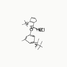 Cl.Cl.[CH2]=[Ti]([O]c1cc(C)cc([Si](C)(C)C(C)(C)C)c1)[C]1=C([Si](C)(C)C)C=CC1